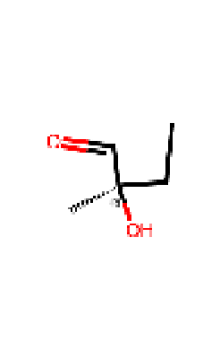 CC[C@@](C)(O)C=O